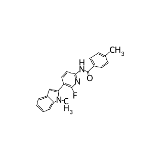 Cc1ccc(C(=O)Nc2ccc(-c3cc4ccccc4n3C)c(F)n2)cc1